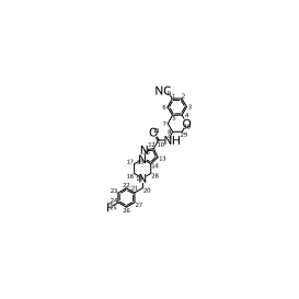 N#Cc1ccc2c(c1)CC(NC(=O)c1cc3n(n1)CCN(Cc1ccc(F)cc1)C3)CO2